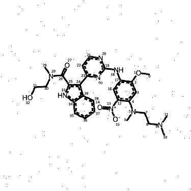 COc1cc(N(C)CCN(C)C)c([N+](=O)[O-])cc1Nc1nccc(-c2c(C(=O)N(C)CCO)[nH]c3ccccc23)n1